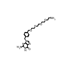 NCCOCCOCCOCCOCc1ccc(Cn2cnc3c(=O)[nH]c(N)nc32)cc1